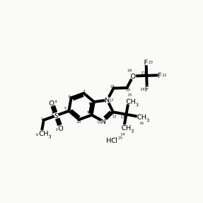 CCS(=O)(=O)c1ccc2c(c1)nc(C(C)(C)C)n2CCOC(F)(F)F.Cl